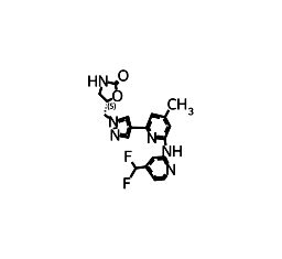 Cc1cc(Nc2cc(C(F)F)ccn2)nc(-c2cnn(C[C@@H]3CNC(=O)O3)c2)c1